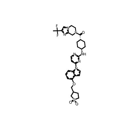 CC(F)(F)c1cn2c(n1)CN(C(=O)[C@H]1CC[C@H](Nc3nccc(-n4ccc5c(OCC6CCS(=O)(=O)C6)cccc54)n3)CC1)CC2